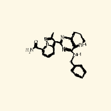 Cc1nn2c(C(N)=O)cccc2c1-c1nc2c(c(NCc3ccccc3)n1)NCCC2